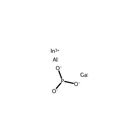 [Al].[Ga].[In+3].[O-]P([O-])[O-]